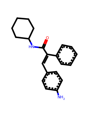 Nc1ccc(/C=C(/C(=O)NC2CCCCC2)c2ccccc2)cc1